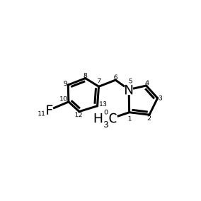 Cc1cccn1Cc1ccc(F)cc1